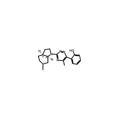 Cc1nc(N2CC[C@@H]3CCN(C)C[C@@H]32)nnc1-c1ccccc1O